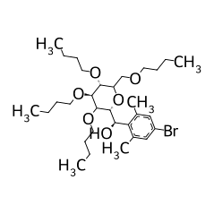 CCCCOCC1O[C@H]([C@H](O)c2c(C)cc(Br)cc2C)C(OCCCC)[C@@H](OCCCC)[C@@H]1OCCCC